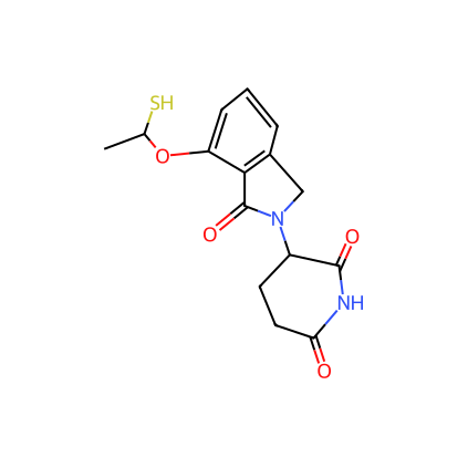 CC(S)Oc1cccc2c1C(=O)N(C1CCC(=O)NC1=O)C2